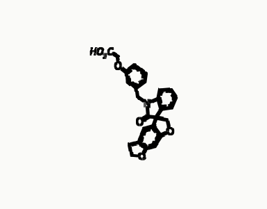 O=C(O)COc1cccc(CN2C(=O)C3(COc4cc5c(cc43)CCO5)c3ccccc32)c1